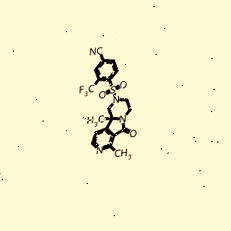 Cc1nccc2c1C(=O)N1CCN(S(=O)(=O)c3ccc(C#N)cc3C(F)(F)F)CC21C